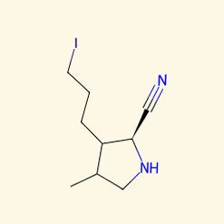 CC1CN[C@H](C#N)C1CCCI